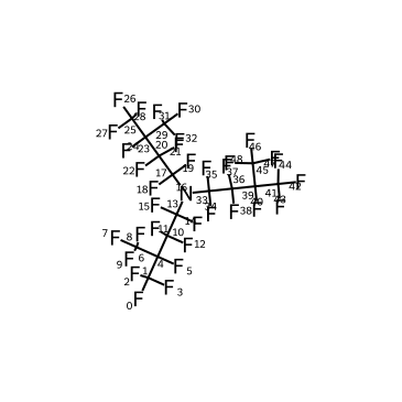 FC(F)(F)C(F)(C(F)(F)F)C(F)(F)C(F)(F)N(C(F)(F)C(F)(F)C(F)(C(F)(F)F)C(F)(F)F)C(F)(F)C(F)(F)C(F)(C(F)(F)F)C(F)(F)F